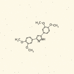 COc1ccc(-c2cc(-c3ccc(OC)c(OC)c3)[nH]n2)cc1OC